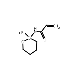 C=CC(=O)N[Si]1(CCC)CCCCO1